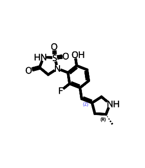 C[C@@H]1C/C(=C/c2ccc(O)c(N3CC(=O)NS3(=O)=O)c2F)CN1